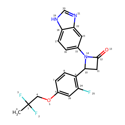 CC(F)(F)COc1ccc(C2CC(=O)N2c2ccc3[nH]cnc3c2)c(F)c1